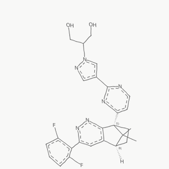 CC1(C)[C@H]2CC[C@]1(c1ccnc(-c3cnn(C(CO)CO)c3)n1)c1nnc(-c3c(F)cccc3F)cc12